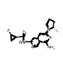 C[C@H]1CCCN1c1cc2cc(NC(=O)[C@H]3C[C@H]3F)ncc2c(N)n1